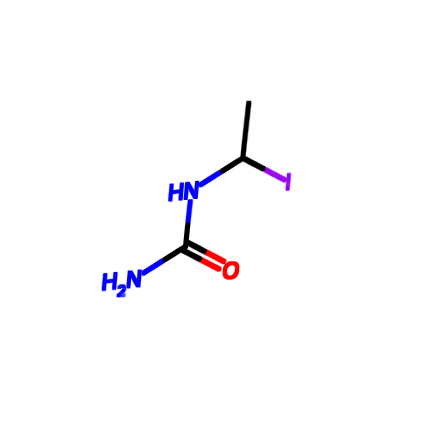 CC(I)NC(N)=O